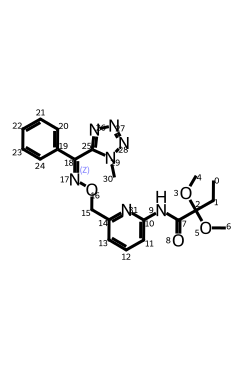 CCC(OC)(OC)C(=O)Nc1cccc(CO/N=C(/c2ccccc2)c2nnnn2C)n1